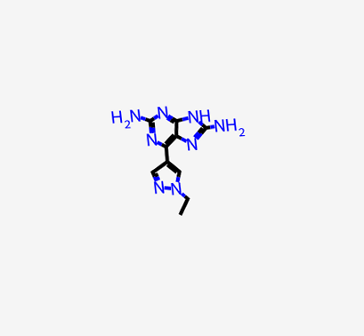 CCn1cc(-c2nc(N)nc3[nH]c(N)nc23)cn1